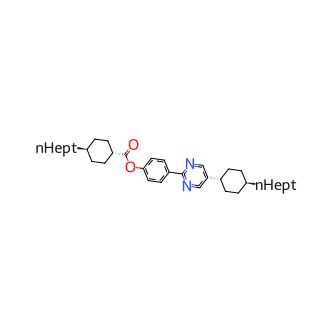 CCCCCCC[C@H]1CC[C@H](C(=O)Oc2ccc(-c3ncc([C@H]4CC[C@H](CCCCCCC)CC4)cn3)cc2)CC1